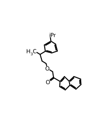 CC(C)c1cccc(C(C)CCOCC(=O)c2ccc3ccccc3c2)c1